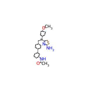 COc1ccc([C@H](Cc2ccc(-c3cccc(NC(C)=O)c3)cc2)c2csc(N)n2)cc1